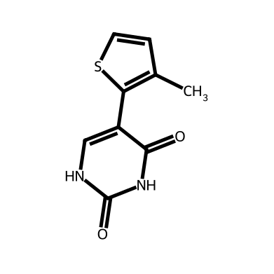 Cc1ccsc1-c1c[nH]c(=O)[nH]c1=O